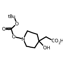 CC(C)(C)OC(=O)ON1CCC(O)(CC(=O)O)CC1